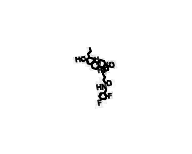 CCCc1cc2c(cc1O)CC[C@H]1[C@@H]3[C@H](CCCC(=O)NCc4ccc(F)cc4F)CC(=O)[C@@]3(C)CC[C@H]21